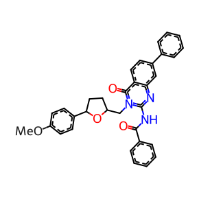 COc1ccc(C2CCC(Cn3c(NC(=O)c4ccccc4)nc4cc(-c5ccccc5)ccc4c3=O)O2)cc1